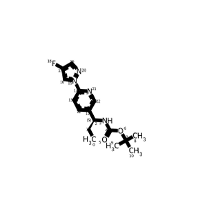 CC[C@H](NC(=O)OC(C)(C)C)c1ccc(-n2cc(F)cn2)nc1